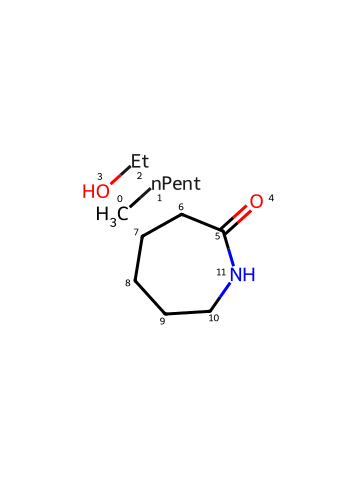 CCCCCC.CCO.O=C1CCCCCN1